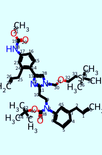 C=CCc1cccc(N(CCc2nc(-c3ccc(NC(=O)OC)cc3CC=C)cn2COCC[Si](C)(C)C)C(=O)OC(C)(C)C)c1